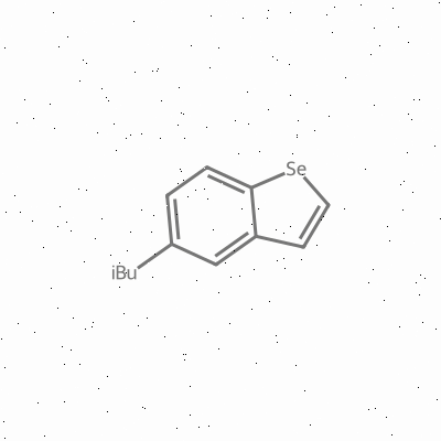 CCC(C)c1ccc2[se]ccc2c1